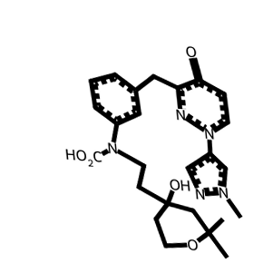 Cn1cc(-n2ccc(=O)c(Cc3cccc(N(CCC4(O)CCOC(C)(C)C4)C(=O)O)c3)n2)cn1